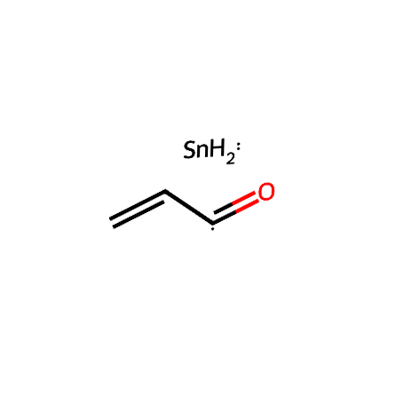 C=C[C]=O.[SnH2]